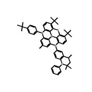 Cc1cc2c3c(c1)N(c1ccc4c(c1)C(C)CC(C)(C)N4c1ccccc1)c1ccc(C(C)(C)C)c4c1B3c1c(ccc(C(C)(C)C)c1S4)N2c1ccc(C(C)(C)C)cc1